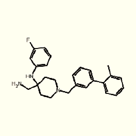 Cc1ccccc1-c1cccc(CN2CCC(CN)(Nc3cccc(F)c3)CC2)c1